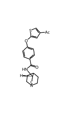 CC(=O)c1csc(Oc2ccc(C(=O)N[C@H]3CN4CCC3CC4)cc2)c1